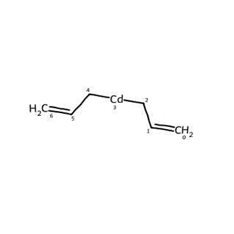 C=C[CH2][Cd][CH2]C=C